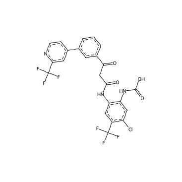 O=C(O)Nc1cc(Cl)c(C(F)(F)F)cc1NC(=O)CC(=O)c1cccc(-c2ccnc(C(F)(F)F)c2)c1